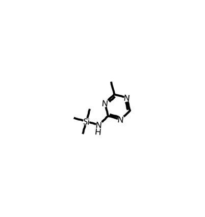 Cc1ncnc(N[Si](C)(C)C)n1